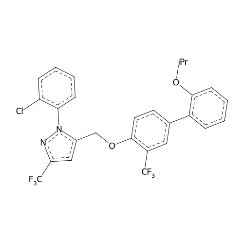 CC(C)Oc1ccccc1-c1ccc(OCc2cc(C(F)(F)F)nn2-c2ccccc2Cl)c(C(F)(F)F)c1